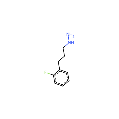 NNCCCc1ccccc1F